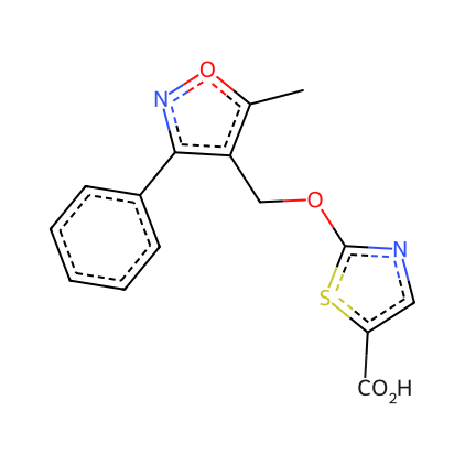 Cc1onc(-c2ccccc2)c1COc1ncc(C(=O)O)s1